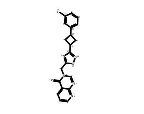 O=c1c2cccnc2ncn1Cc1nc(C2CC(c3cccc(Cl)c3)C2)no1